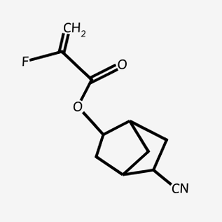 C=C(F)C(=O)OC1CC2CC1CC2C#N